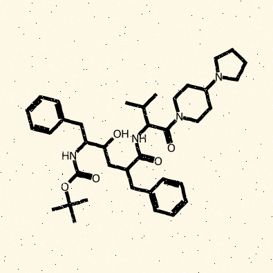 CC(C)C(NC(=O)C(Cc1ccccc1)CC(O)C(Cc1ccccc1)NC(=O)OC(C)(C)C)C(=O)N1CCC(N2CCCC2)CC1